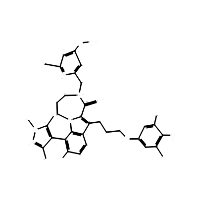 Cc1cc(OCCCc2c3n(c4c(-c5c(C)nn(C)c5C)c(Cl)ccc24)CCCN(Cc2cc(OC=O)cc(Cl)n2)C3=O)cc(C)c1Cl